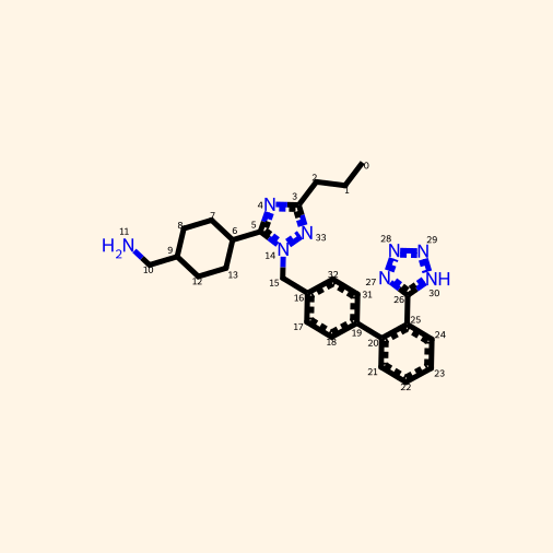 CCCc1nc(C2CCC(CN)CC2)n(Cc2ccc(-c3ccccc3-c3nnn[nH]3)cc2)n1